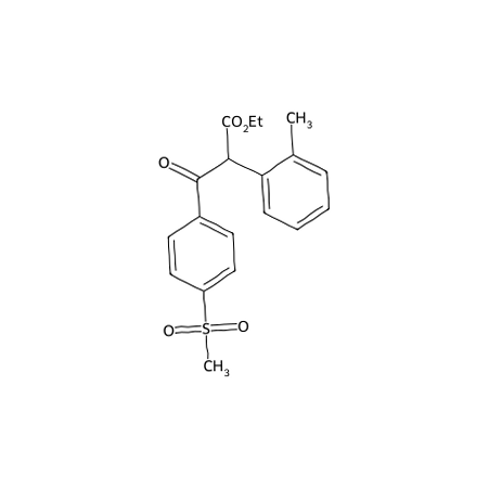 CCOC(=O)C(C(=O)c1ccc(S(C)(=O)=O)cc1)c1ccccc1C